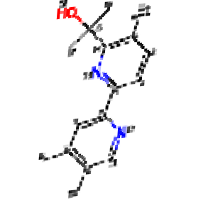 CCc1ccc(-c2cc(C)c(C)cn2)nc1C(C)(C)O